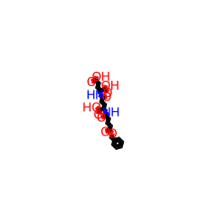 O=C(O)CCC(NC(=O)CCC(NC(=O)CCCC(=O)OCc1ccccc1)C(=O)O)C(=O)O